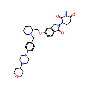 O=C1CCC(N2Cc3cc(OCC4CCCCN4Cc4ccc(N5CCN(C6CCOCC6)CC5)cc4)ccc3C2=O)C(=O)N1